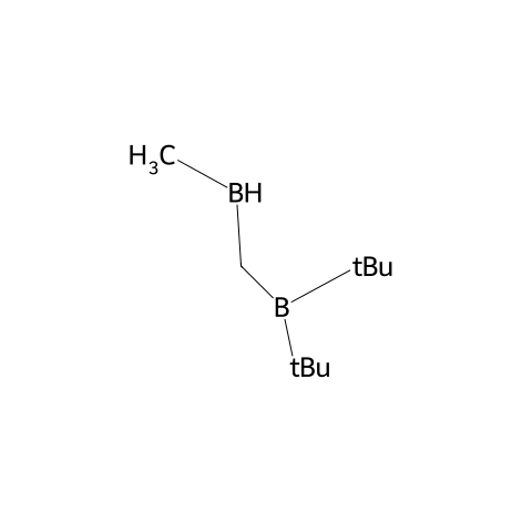 CBCB(C(C)(C)C)C(C)(C)C